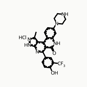 Cc1n[nH]c2nc(-c3ccc(O)c(C(F)(F)F)c3)c3c(=O)[nH]c4cc(N5CCNCC5)ccc4c3c12.Cl